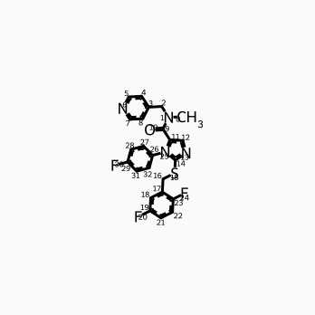 CN(Cc1ccncc1)C(=O)c1cnc(SCc2cc(F)ccc2F)n1-c1ccc(F)cc1